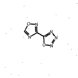 c1nc(-c2nnno2)no1